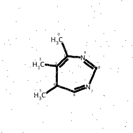 CC1=C(C)C(C)C=NC=N1